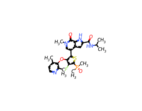 Cc1ccnc(C)c1Oc1c(-c2cn(C)c(=O)c3[nH]c(C(=O)NC(C)C)cc23)sc(P(C)(C)=O)c1F